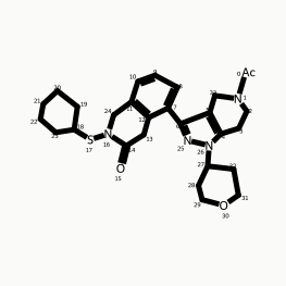 CC(=O)N1CCc2c(c(-c3cccc4c3CC(=O)N(SC3CCCCC3)C4)nn2C2CCOCC2)C1